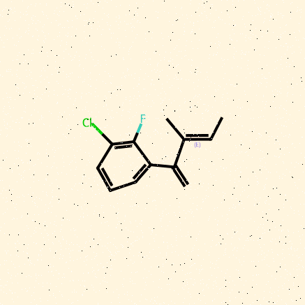 C=C(/C(C)=C/C)c1cccc(Cl)c1F